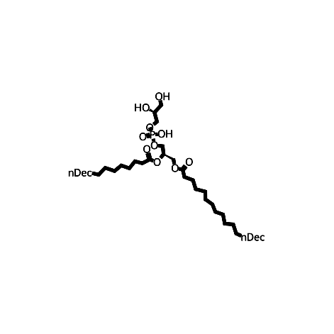 CCCCCCCCCCCCCCCCCCCCCC(=O)OC[C@H](COP(=O)(O)OC[C@@H](O)CO)OC(=O)CCCCCCCCCCCCCCCCC